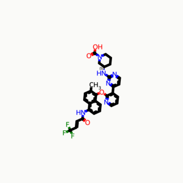 Cc1ccc2c(NC(=O)C=CC(F)(F)F)cccc2c1Oc1ncccc1-c1ccnc(N[C@H]2CCCN(C(=O)O)C2)n1